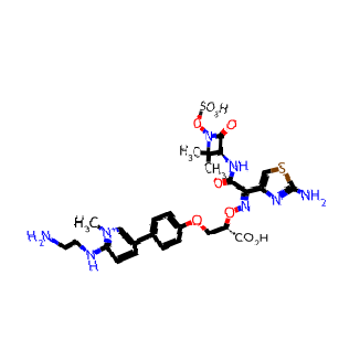 C[n+]1cc(-c2ccc(OC[C@H](O/N=C(\C(=O)N[C@@H]3C(=O)N(OS(=O)(=O)O)C3(C)C)c3csc(N)n3)C(=O)O)cc2)ccc1NCCN